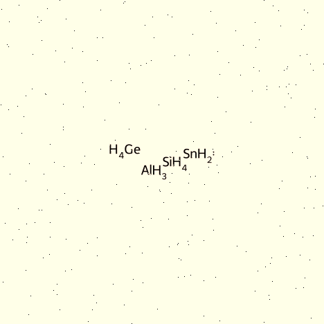 [AlH3].[GeH4].[SiH4].[SnH2]